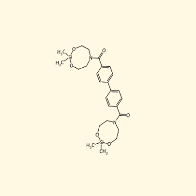 C[Si]1(C)OCCN(C(=O)c2ccc(-c3ccc(C(=O)N4CCO[Si](C)(C)OCC4)cc3)cc2)CCO1